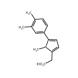 CCOC(=O)Cc1ccc(-c2ccc(C)c(C)c2)n1C